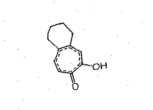 O=c1ccc2c(cc1O)CCCC2